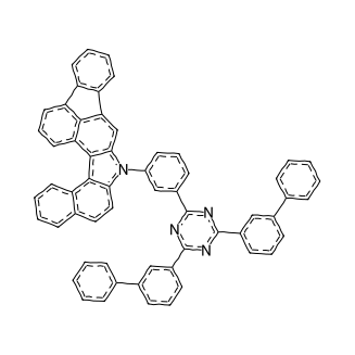 c1ccc(-c2cccc(-c3nc(-c4cccc(-c5ccccc5)c4)nc(-c4cccc(-n5c6ccc7ccccc7c6c6c7cccc8c7c(cc65)-c5ccccc5-8)c4)n3)c2)cc1